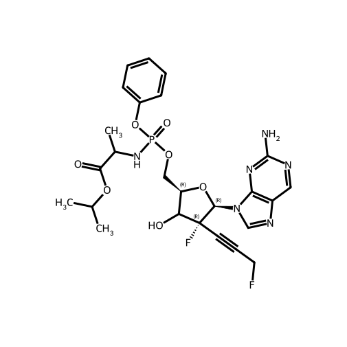 CC(C)OC(=O)C(C)NP(=O)(OC[C@H]1O[C@@H](n2cnc3cnc(N)nc32)[C@@](F)(C#CCF)C1O)Oc1ccccc1